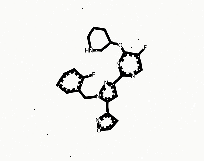 Fc1ccccc1Cn1nc(-c2ncc(F)c(OC3CCCNC3)n2)cc1-c1ccon1